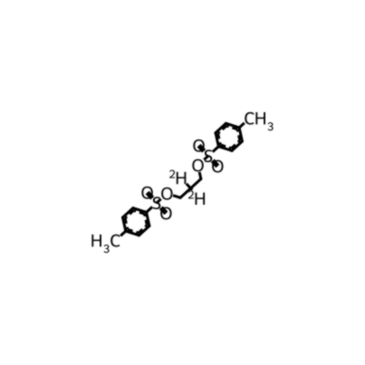 [2H]C([2H])(COS(=O)(=O)c1ccc(C)cc1)COS(=O)(=O)c1ccc(C)cc1